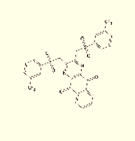 O=C1c2ccccc2C(=O)c2nc(CS(=O)(=O)c3cccc(C(F)(F)F)c3)c(CS(=O)(=O)c3cccc(C(F)(F)F)c3)nc21